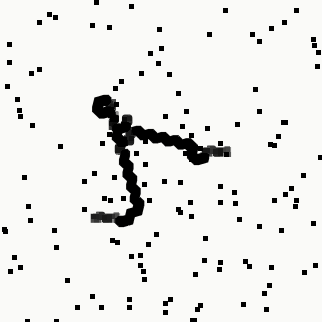 CCCCC/C=C\C/C=C\CCCCCCCCOC(=O)CC(SSc1ccccn1)C(=O)OCCCCCCCC/C=C\C/C=C\CCCCC